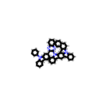 c1ccc(-n2c3ccccc3c3ccc(-c4nc5ccccc5nc4-n4c5ccccc5c5cc6c7ccccc7n7c8ccc9ccccc9c8c(c54)c67)cc32)cc1